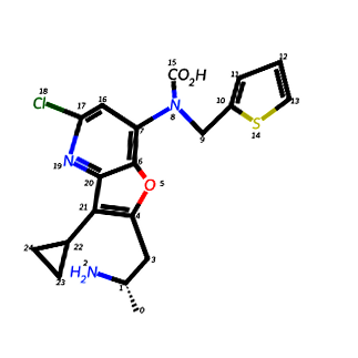 C[C@H](N)Cc1oc2c(N(Cc3cccs3)C(=O)O)cc(Cl)nc2c1C1CC1